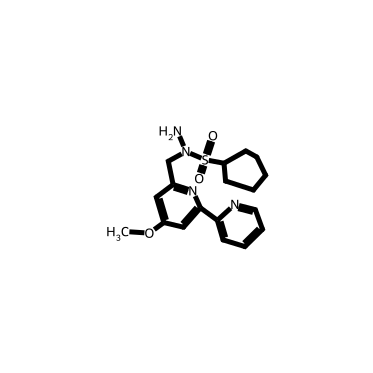 COc1cc(CN(N)S(=O)(=O)C2CCCCC2)nc(-c2ccccn2)c1